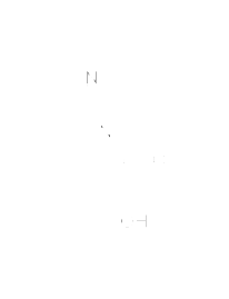 Cc1nccn1C(=O)CO